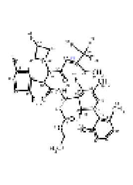 CCOC(=O)C[C@H](NC(=O)C(c1cc(Br)ccc1F)N(C(=O)/C=C(\CC)C(F)(F)F)N1CC(F)C1)c1c(F)c(C)cc(-c2c(C)cccc2O)c1F